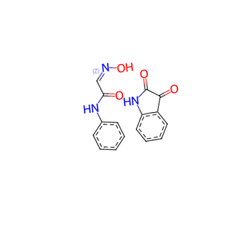 O=C(/C=N\O)Nc1ccccc1.O=C1Nc2ccccc2C1=O